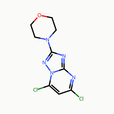 Clc1cc(Cl)n2nc(N3CCOCC3)nc2n1